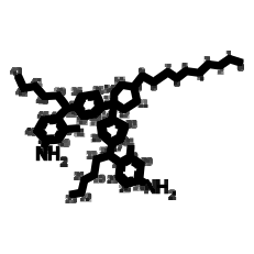 CCCCCCCCCCC1CCC(c2ccc(C(CCCCC)c3ccc(N)cc3C)cc2)(c2ccc(C(CCCCC)c3ccc(N)cc3C)cc2)CC1